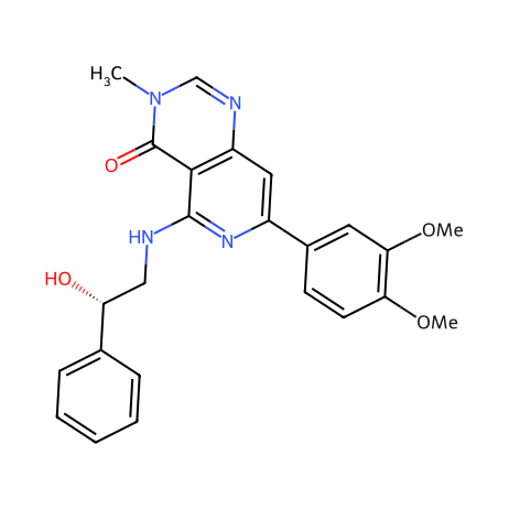 COc1ccc(-c2cc3ncn(C)c(=O)c3c(NC[C@@H](O)c3ccccc3)n2)cc1OC